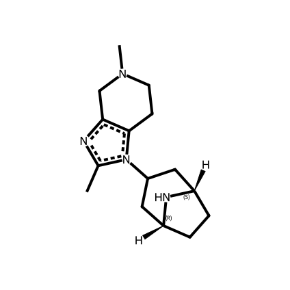 Cc1nc2c(n1C1C[C@H]3CC[C@@H](C1)N3)CCN(C)C2